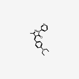 CCN(CC)c1ccc(/C=C2\C(=O)N(c3cccnc3)N=C2C)cc1